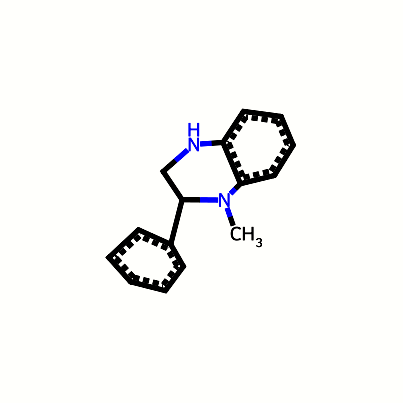 CN1c2ccccc2NCC1c1ccccc1